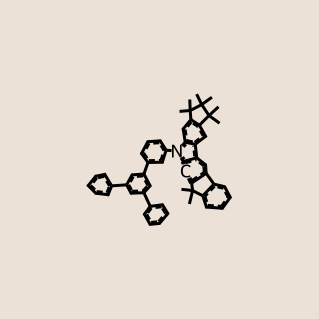 CC1(C)c2ccccc2-c2cc3c4cc5c(cc4n(-c4cccc(-c6cc(-c7ccccc7)cc(-c7ccccc7)c6)c4)c3cc21)C(C)(C)C(C)(C)C5(C)C